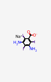 Nc1c(I)c(N)c(I)c(C(=O)[O-])c1I.[Na+]